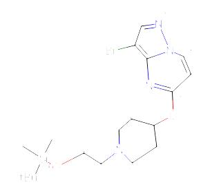 CC(C)(C)[Si](C)(C)OCCN1CCC(Oc2ccn3ncc(Br)c3n2)CC1